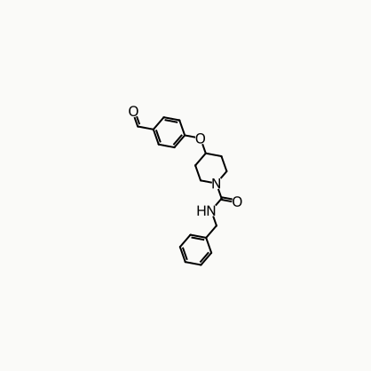 O=Cc1ccc(OC2CCN(C(=O)NCc3ccccc3)CC2)cc1